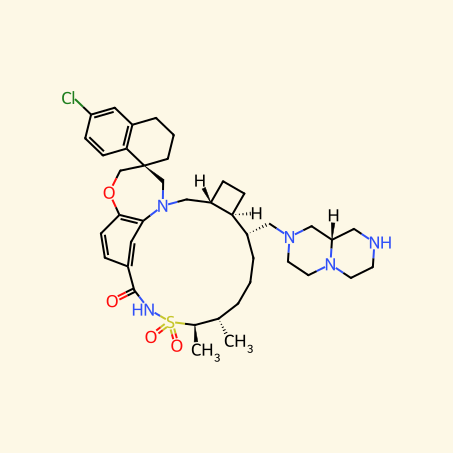 C[C@@H]1[C@@H](C)CCC[C@@H](CN2CCN3CCNC[C@H]3C2)[C@@H]2CC[C@H]2CN2C[C@@]3(CCCc4cc(Cl)ccc43)COc3ccc(cc32)C(=O)NS1(=O)=O